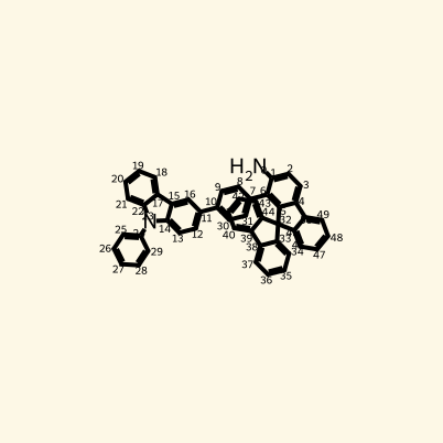 Nc1ccc2c(c1-c1ccc(-c3ccc4c(c3)c3ccccc3n4-c3ccccc3)cc1)C1(c3ccccc3-c3ccccc31)c1ccccc1-2